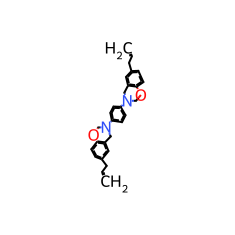 C=CCc1ccc2c(c1)CN(c1ccc(N3COc4ccc(CC=C)cc4C3)cc1)CO2